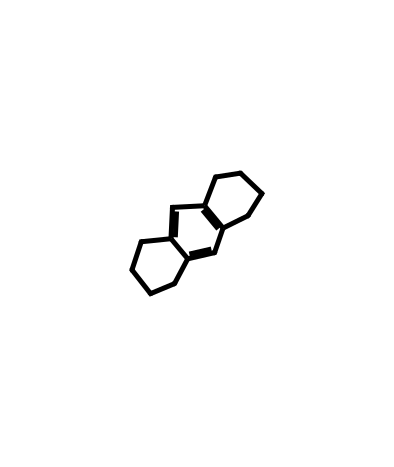 c1c2c(cc3c1CCCC3)CCCC2